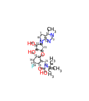 Cc1ncnc2c1ccn2[C@@H]1C[C@H](Oc2ccc(F)cc2CN(C(=O)O)C(C)(C)C)[C@@H](O)[C@H]1O